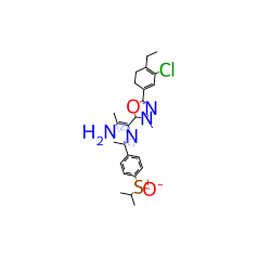 CCC1=C(Cl)C=C(C2=NN(C)C(C(/N=C(\C)c3ccc([S+]([O-])C(C)C)cc3)=C(\C)N)O2)CC1